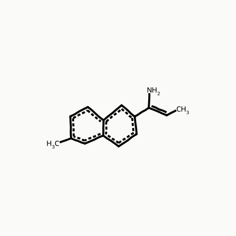 C/C=C(\N)c1ccc2cc(C)ccc2c1